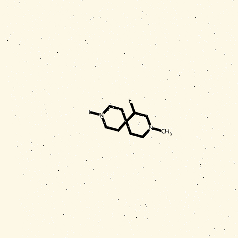 CN1CCC2(CCN(I)CC2)C(F)C1